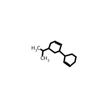 CC(C)C1CC=CC(C2C=CCCC2)C1